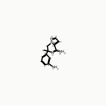 CC1(c2cccc(N)c2)Cn2nccc2C(N)=N1